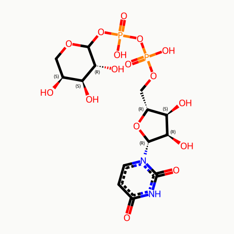 O=c1ccn([C@@H]2O[C@H](COP(=O)(O)OP(=O)(O)OC3OC[C@H](O)[C@H](O)[C@H]3O)[C@@H](O)[C@H]2O)c(=O)[nH]1